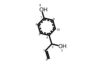 C=CC(O)c1ccc(O)cc1